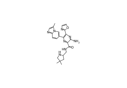 Cc1cnc2ccc(-c3nc(C(=O)NCC4CC(C)(C)CN4)c(N)nc3-c3ncco3)cn12